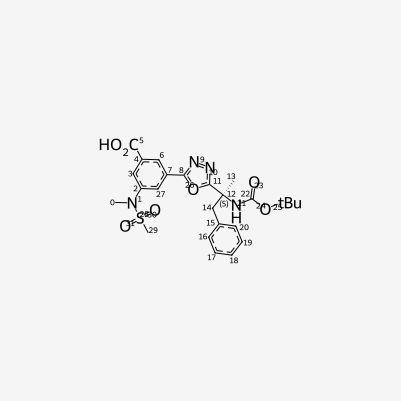 CN(c1cc(C(=O)O)cc(-c2nnc([C@](C)(Cc3ccccc3)NC(=O)OC(C)(C)C)o2)c1)S(C)(=O)=O